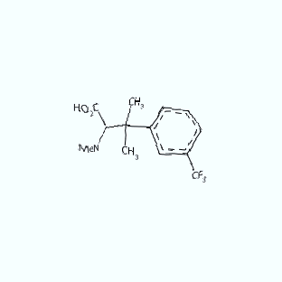 CNC(C(=O)O)C(C)(C)c1cccc(C(F)(F)F)c1